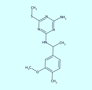 COc1cc(C(C)Nc2nc(N)nc(SC)n2)ccc1C